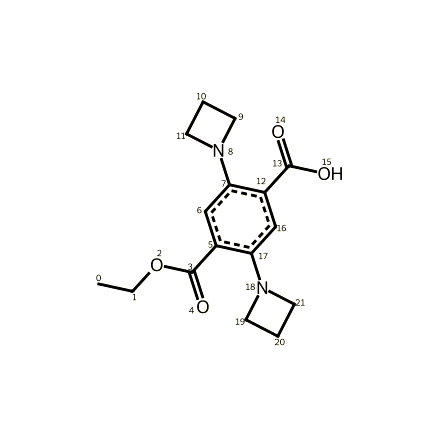 CCOC(=O)c1cc(N2CCC2)c(C(=O)O)cc1N1CCC1